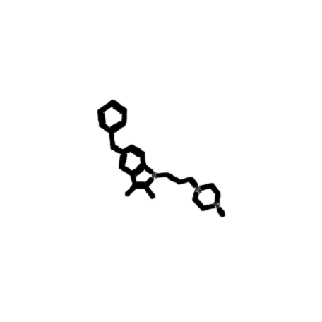 Cc1c(C)n(CCCN2CCN(C)CC2)c2ccc(Cc3ccccc3)cc12